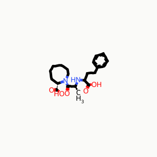 C[C@H](NC(CCc1ccccc1)C(=O)O)C(=O)N1CCCCCC[C@H]1C(=O)O